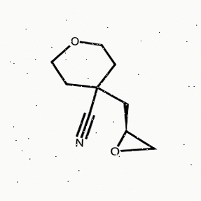 N#CC1(C[C@H]2CO2)CCOCC1